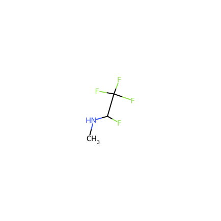 CNC(F)C(F)(F)F